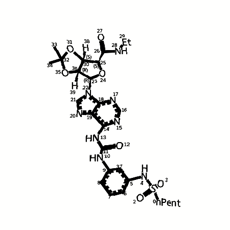 CCCCCS(=O)(=O)Nc1cccc(NC(=O)Nc2ncnc3c2ncn3[C@@H]2O[C@H](C(=O)NCC)[C@H]3OC(C)(C)O[C@H]32)c1